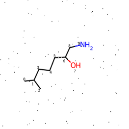 CC(C)CCCC(O)CN